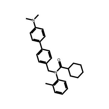 Cc1ccc[c]c1N(Cc1ccc(-c2ccc(N(C)C)cc2)cc1)C(=O)C1CCCCC1